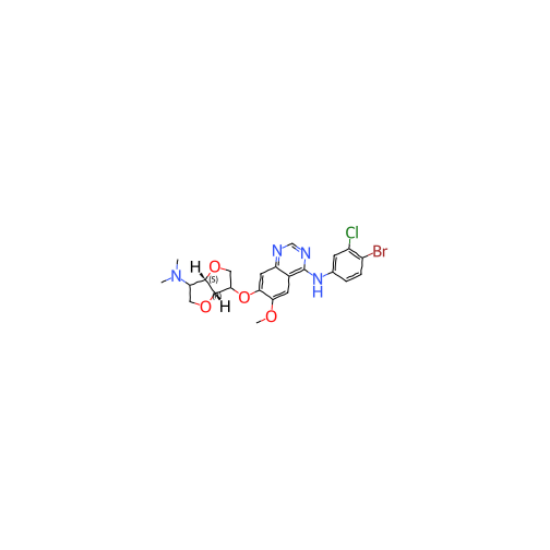 COc1cc2c(Nc3ccc(Br)c(Cl)c3)ncnc2cc1OC1CO[C@H]2C(N(C)C)CO[C@@H]12